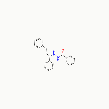 O=C(NNC(/C=C/c1ccccc1)c1ccccc1)c1ccccc1